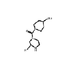 CC(C)C1CN(C(=O)N2CCC(C(C)(C)C)CC2)CCN1